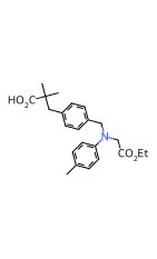 CCOC(=O)CN(Cc1ccc(CC(C)(C)C(=O)O)cc1)c1ccc(C)cc1